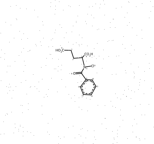 O=C(O)CCC(C(=O)O)N(Cl)C(=O)c1ccccc1